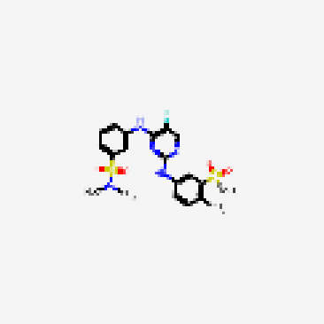 Cc1ccc(Nc2ncc(F)c(Nc3cccc(S(=O)(=O)N(C)C)c3)n2)cc1S(=O)(=O)[AsH2]